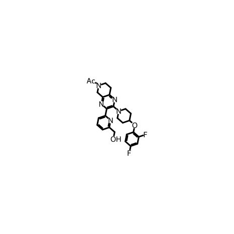 CC(=O)N1CCc2nc(N3CCC(Oc4ccc(F)cc4F)CC3)c(-c3cccc(CO)n3)nc2C1